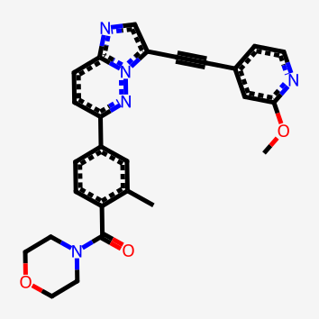 COc1cc(C#Cc2cnc3ccc(-c4ccc(C(=O)N5CCOCC5)c(C)c4)nn23)ccn1